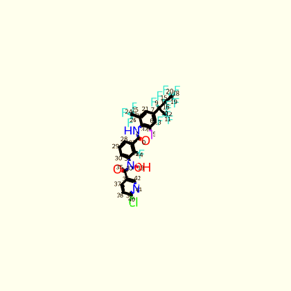 O=C(Nc1c(I)cc(C(F)(C(F)(F)F)C(F)(F)C(F)(F)F)cc1C(F)(F)F)c1cccc(N(O)C(=O)c2ccc(Cl)nc2)c1F